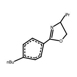 CCCCc1ccc(C2=NC(C(C)C)CO2)cc1